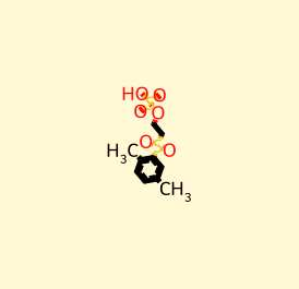 Cc1ccc(C)c(S(=O)(=O)CCOS(=O)(=O)O)c1